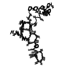 COCCc1nc2c(N)nc3cc(OCc4ccccc4)ccc3c2n1CCCCNS(C)(=O)=O